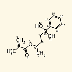 C=C(C)C(=O)OC(C)CC[Si](O)(O)c1ccccc1